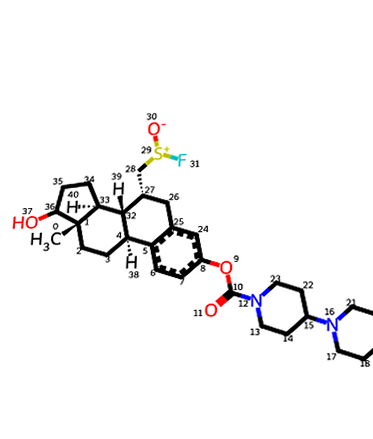 C[C@]12CC[C@@H]3c4ccc(OC(=O)N5CCC(N6CCCCC6)CC5)cc4C[C@@H](C[S+]([O-])F)[C@H]3[C@@H]1CCC2O